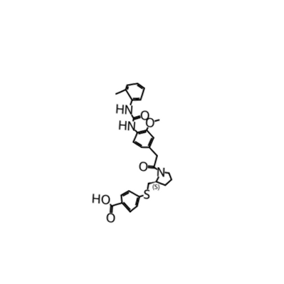 COc1cc(CC(=O)N2CCC[C@H]2CSc2ccc(C(=O)O)cc2)ccc1NC(=O)Nc1ccccc1C